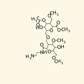 COCC1OC(C(=O)NCCN)C(COCC2OC(C(=O)OC)C(COC)C(OC(C)=O)C2O)C(OC)C1O